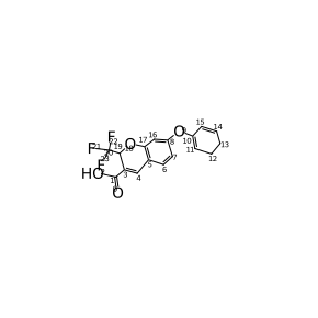 O=C(O)C1=Cc2ccc(OC3=CCCC=C3)cc2OC1C(F)(F)F